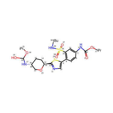 CC(C)OC(=O)Nc1ccc(-c2cnc([C@@H]3CC[C@@H](NC(O)OC(C)C)CO3)s2)c(S(=O)(=O)NC(C)(C)C)c1